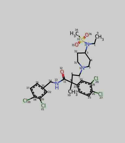 CCN(C1CCN(CCC(C)(C(=O)NCc2ccc(Cl)c(Cl)c2)c2ccc(Cl)c(Cl)c2)CC1)S(C)(=O)=O